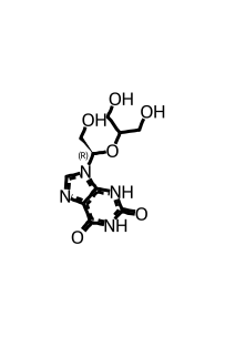 O=c1[nH]c(=O)c2ncn([C@@H](CO)OC(CO)CO)c2[nH]1